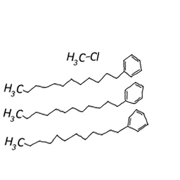 CCCCCCCCCCCCc1ccccc1.CCCCCCCCCCCCc1ccccc1.CCCCCCCCCCCCc1ccccc1.CCl